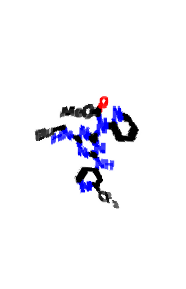 COC(=O)N(c1ccccn1)c1nc(NCC(C)(C)C)nc(Nc2ccnc(C(F)(F)F)c2)n1